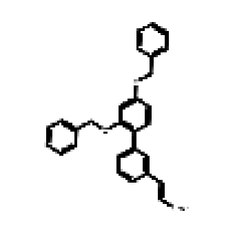 O=CC=Cc1cccc(-c2ccc(OCc3ccccc3)cc2OCc2ccccc2)c1